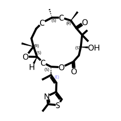 C/C(=C\c1csc(C)n1)[C@@H]1C[C@@H]2O[C@]2(C)CCC[C@H](C)C[C@@H](C)C(=O)C(C)(C)[C@@H](O)CC(=O)O1